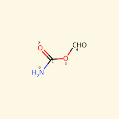 NC(=O)OC=O